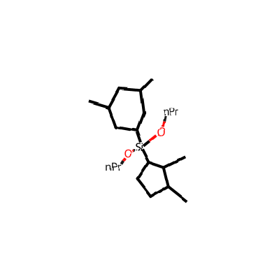 CCCO[Si](OCCC)(C1CC(C)CC(C)C1)C1CCC(C)C1C